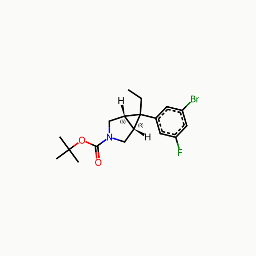 CCC1(c2cc(F)cc(Br)c2)[C@@H]2CN(C(=O)OC(C)(C)C)C[C@@H]21